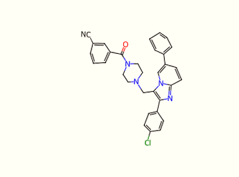 N#Cc1cccc(C(=O)N2CCN(Cc3c(-c4ccc(Cl)cc4)nc4ccc(-c5ccccc5)cn34)CC2)c1